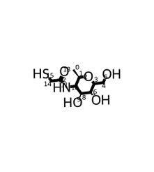 C[C@H]1OC(CO)[C@H](O)[C@H](O)C1NC(=O)CS